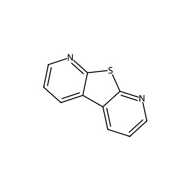 c1cnc2sc3ncccc3c2c1